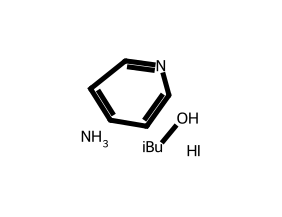 CCC(C)O.I.N.c1ccncc1